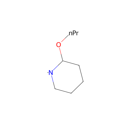 CCCOC1CCCC[N]1